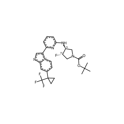 CC(C)(C)OC(=O)N1C[C@H](Nc2cccc(-c3cnc4cc(C5(C(F)(F)F)CC5)ccn34)n2)[C@@H](F)C1